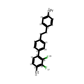 CCCc1ccc(CCc2ccc(-c3ccc(CC)c(F)c3F)cc2)cc1